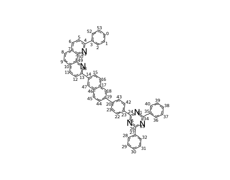 c1ccc(-c2ccc3ccc4ccc(-c5ccc6cc(-c7ccc(-c8nc(-c9ccccc9)nc(-c9ccccc9)n8)cc7)ccc6c5)nc4c3n2)cc1